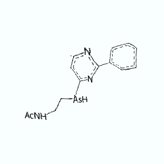 CC(=O)NCC[AsH]c1c[c]nc(-c2ccccc2)n1